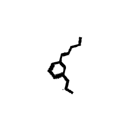 C[CH]Cc1cccc(C=CCCC)c1